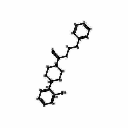 O=C(CSCc1ccccc1)N1CCN(c2ccccc2F)CC1